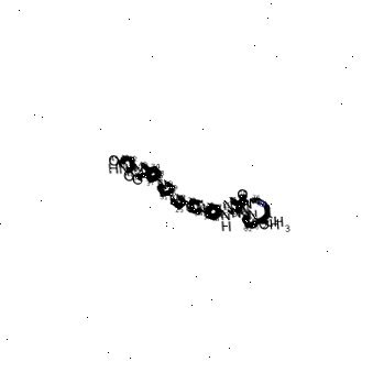 C[C@@]1(O)CC/C=C\Cn2c(=O)c3cnc(Nc4ccc(N5CCN(C6CCN(C7CCN(c8ccc9c(c8)C(=O)N(C8CCC(=O)NC8=O)C9)CC7)C6)CC5)cc4)nc3n2-c2cccc1n2